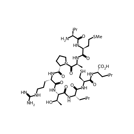 CSCC[C@H](NC(=O)[C@@H](N)C(C)C)C(=O)N[C@@H](C)C(=O)N1CCC[C@H]1C(=O)N[C@@H](CCCNC(=N)N)C(=O)N[C@H](C(=O)N[C@@H](CC(C)C)C(=O)N[C@@H](CS)C(=O)N[C@@H](CC(C)C)C(=O)O)[C@@H](C)O